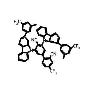 Cc1cc(-c2ccc3c4ccccc4n(-c4cc(-c5ccc(C(F)(F)F)cc5C#N)cc(-n5c6ccccc6c6ccc(-c7cc(C)cc(C(F)(F)F)c7)cc65)c4C#N)c3c2)cc(C(F)(F)F)c1